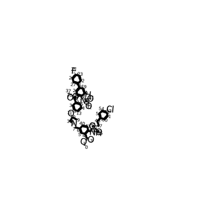 COC(=O)c1cc(CN2CC(Oc3ccc(N(c4ccc(-c5ccc(F)cc5)cc4)[SH](=O)=O)c(C(=O)OC)c3)C2)ccc1NS(=O)(=O)CCc1ccc(Cl)cc1